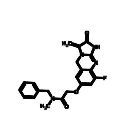 C=c1c(=O)[nH]c2n1Cc1cc(OCC(=O)N(C)Cc3ccccc3)cc(F)c1N=2